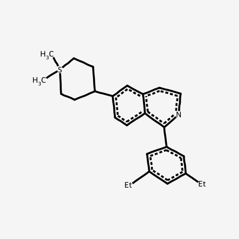 CCc1cc(CC)cc(-c2nccc3cc(C4CCS(C)(C)CC4)ccc23)c1